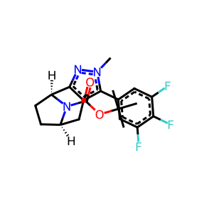 Cn1nc2c(c1-c1cc(F)c(F)c(F)c1)C[C@H]1CC[C@@H]2N1C(=O)OC(C)(C)C